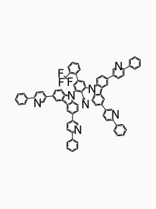 N#Cc1c(-n2c3ccc(-c4ccc(-c5ccccc5)nc4)cc3c3cc(-c4ccc(-c5ccccc5)nc4)ccc32)cc(-c2ccccc2C(F)(F)F)cc1-n1c2ccc(-c3ccc(-c4ccccc4)nc3)cc2c2cc(-c3ccc(-c4ccccc4)nc3)ccc21